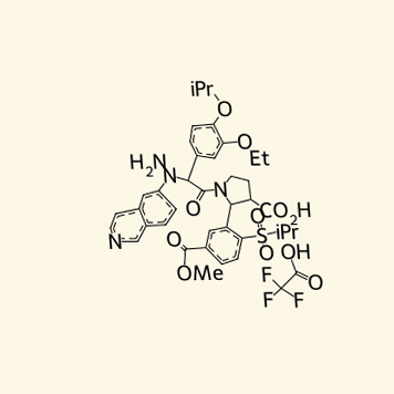 CCOc1cc(C(C(=O)N2CCC(C(=O)O)C2c2cc(C(=O)OC)ccc2S(=O)(=O)C(C)C)N(N)c2ccc3cnccc3c2)ccc1OC(C)C.O=C(O)C(F)(F)F